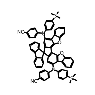 CS(C)(C)c1ccc(N(c2ccc(C#N)cc2)c2cc3c(c4oc5ccccc5c24)-c2c(cc(N(c4ccc(C#N)cc4)c4ccc(S(C)(C)C)cc4)c4c2oc2ccccc24)C32c3ccccc3-c3ccccc32)cc1